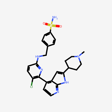 CN1CCC(c2cc3c(-c4nc(NCc5ccc(S(N)(=O)=O)cc5)ccc4Cl)ccnc3[nH]2)CC1